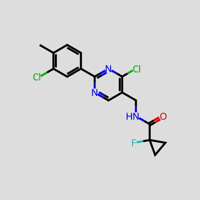 Cc1ccc(-c2ncc(CNC(=O)C3(F)CC3)c(Cl)n2)cc1Cl